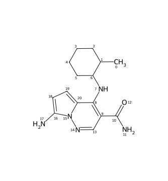 CC1CCCCC1Nc1c(C(N)=O)cnn2c(N)ccc12